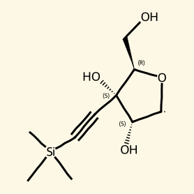 C[Si](C)(C)C#C[C@]1(O)[C@@H](O)[CH]O[C@@H]1CO